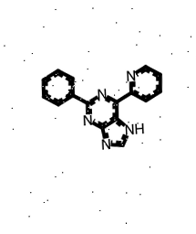 c1ccc(-c2nc(-c3ccccn3)c3[nH]cnc3n2)cc1